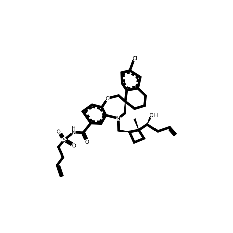 C=CCCS(=O)(=O)NC(=O)c1ccc2c(c1)N(C[C@@H]1CC[C@@]1(C)[C@@H](O)CC=C)C[C@@]1(CCCc3cc(Cl)ccc31)CO2